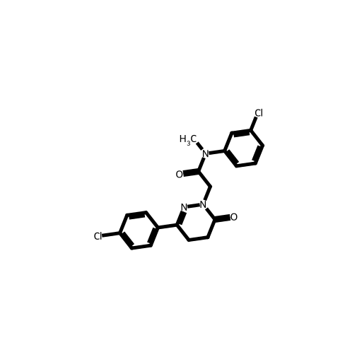 CN(C(=O)CN1N=C(c2ccc(Cl)cc2)CCC1=O)c1cccc(Cl)c1